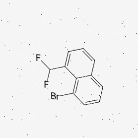 FC(F)c1cccc2cccc(Br)c12